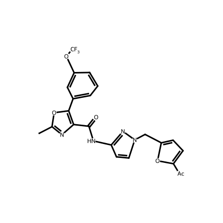 CC(=O)c1ccc(Cn2ccc(NC(=O)c3nc(C)oc3-c3cccc(OC(F)(F)F)c3)n2)o1